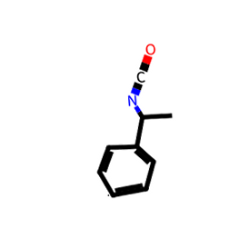 CC(N=C=O)c1cc[c]cc1